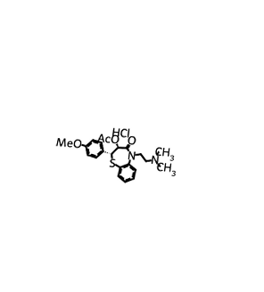 COc1ccc([C@H]2Sc3ccccc3N(CCN(C)C)C(=O)[C@@H]2OC(C)=O)cc1.Cl